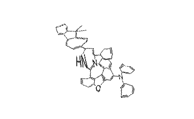 CC1(C)c2ccccc2-c2ccc(C3C=C(C4C=CC=CC4)N=C(c4cccc5oc6cc(N(c7ccccc7)c7ccccc7)c7ccccc7c6c45)N3)cc21